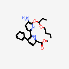 CCCCOC(CC)Oc1nc(-c2nc(C(=O)OC)ccc2-c2ccccc2)ccc1N